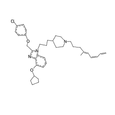 C=C/C=C\C=C(/C)CCCN1CCC(CCCn2c(COc3ccc(Cl)cc3)nc3c(OC4CCCC4)cccc32)CC1